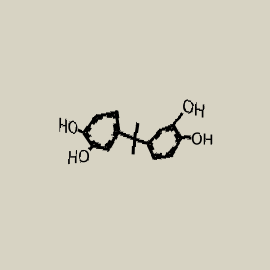 CC(C)(c1ccc(O)c(O)c1)c1ccc(O)c(O)c1